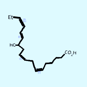 CC/C=C\C=C\C(O)C/C=C\C/C=C\CCCCC(=O)O